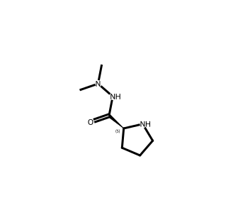 CN(C)NC(=O)[C@@H]1CCCN1